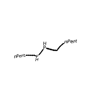 CCCCCCPPCCCCC